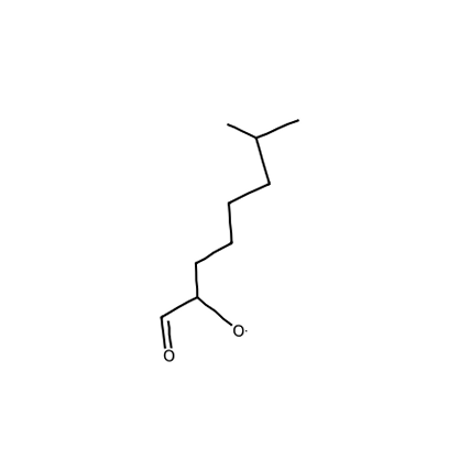 CC(C)CCCCC([O])C=O